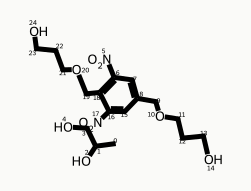 CC(O)CO.O=[N+]([O-])c1cc(COCCCO)cc([N+](=O)[O-])c1COCCCO